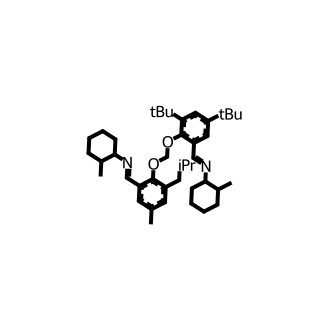 Cc1cc(/C=N/C2CCCCC2C)c(OCOc2c(/C=N/C3CCCCC3C)cc(C(C)(C)C)cc2C(C)(C)C)c(CC(C)C)c1